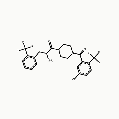 NC(Cc1ccccc1C(F)(F)F)C(=O)N1CCN(C(=O)c2cc(Cl)ccc2C(F)(F)F)CC1